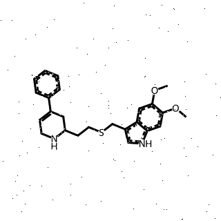 COc1cc2[nH]cc(CSCCC3CC(c4ccccc4)=CCN3)c2cc1OC